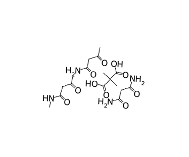 CC(=O)CC(N)=O.CC(C)(C(=O)O)C(=O)O.CNC(=O)CC(C)=O.NC(=O)CC(N)=O